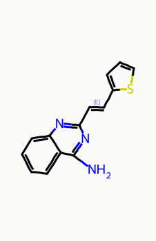 Nc1nc(/C=C/c2cccs2)nc2ccccc12